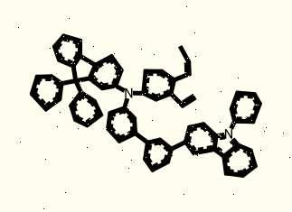 C=Cc1cc(N(c2cccc(-c3cccc(-c4ccc5c(c4)c4ccccc4n5-c4ccccc4)c3)c2)c2ccc3c(c2)C(c2ccccc2)(c2ccccc2)c2ccccc2-3)ccc1/C=C\C